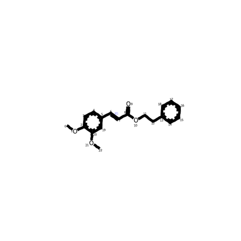 COc1ccc(/C=C/C(=O)OCCc2ccccc2)cc1OC